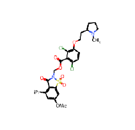 COc1cc(C(C)C)c2c(c1)S(=O)(=O)N(COC(=O)c1c(Cl)ccc(OCCC3CCCN3C)c1Cl)C2=O